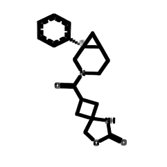 O=C1NC2(CO1)CC(C(=O)N1CCC3C[C@]3(c3ccccc3)C1)C2